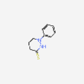 S=C1CCCN(c2ccccc2)N1